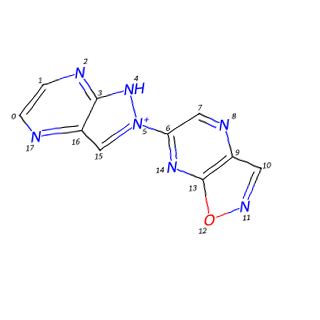 c1cnc2[nH][n+](-c3cnc4cnoc4n3)cc2n1